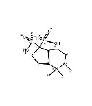 CC1CCC2C(CCC2(P(=O)(O)O)P(=O)(O)O)[N+]1(C)C